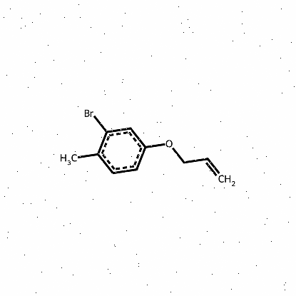 C=CCOc1ccc(C)c(Br)c1